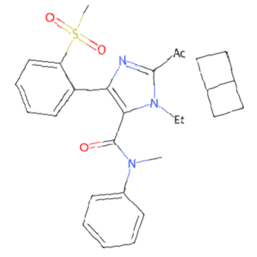 C1CC2CCC12.CCn1c(C(C)=O)nc(-c2ccccc2S(C)(=O)=O)c1C(=O)N(C)c1ccccc1